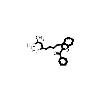 CC(C)CC(C)CCCCc1c(C(=O)c2ccccc2)oc2ccccc12